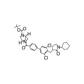 CC(C)(C)OC(=O)N1C[C@@H]2C[C@H]1CN2C(=O)c1ccc(-c2cc(Cl)c(CC3CCN(C4CCCCC4)C3=O)c(Cl)c2)cc1